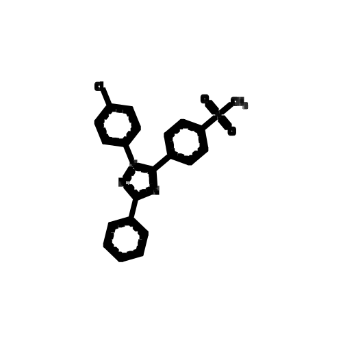 CS(=O)(=O)c1ccc(-c2nc(-c3ccccc3)nn2-c2ccc(Cl)cc2)cc1